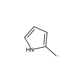 [CH2]c1ccc[nH]1